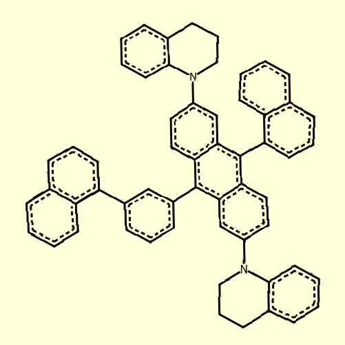 c1cc(-c2cccc3ccccc23)cc(-c2c3cc(N4CCCc5ccccc54)ccc3c(-c3cccc4ccccc34)c3cc(N4CCCc5ccccc54)ccc23)c1